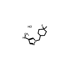 CNc1cnn(CC2CCC(F)(F)CC2)c1.Cl